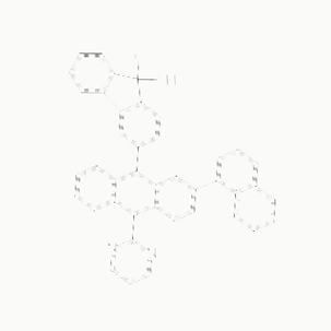 CC1(C)c2ccccc2-c2cc(-c3c4ccccc4c(-c4ncccn4)c4ccc(-c5cccc6ccccc56)cc34)ccc21